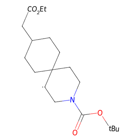 CCOC(=O)CC1CCC2([CH]CN(C(=O)OC(C)(C)C)CC2)CC1